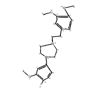 COc1cc(N2CCN(CCc3ccc(OC)c(OC)c3)CC2)ccc1F